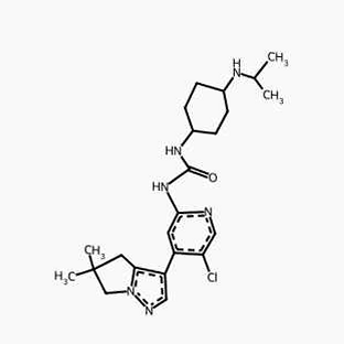 CC(C)NC1CCC(NC(=O)Nc2cc(-c3cnn4c3CC(C)(C)C4)c(Cl)cn2)CC1